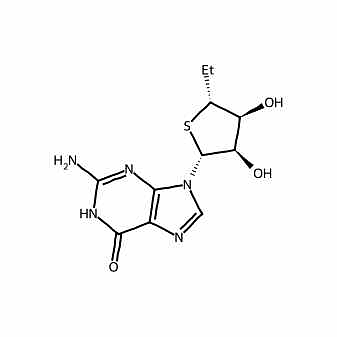 CC[C@H]1S[C@@H](n2cnc3c(=O)[nH]c(N)nc32)[C@H](O)[C@@H]1O